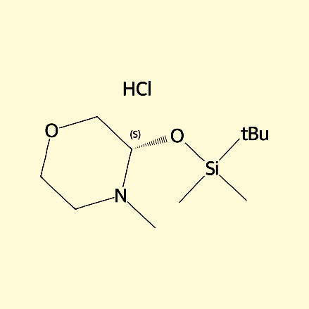 CN1CCOC[C@@H]1O[Si](C)(C)C(C)(C)C.Cl